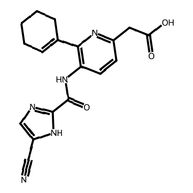 N#Cc1cnc(C(=O)Nc2ccc(CC(=O)O)nc2C2=CCCCC2)[nH]1